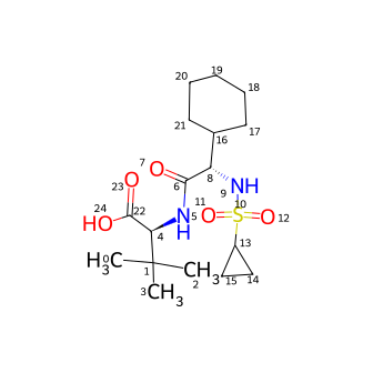 CC(C)(C)[C@H](NC(=O)[C@@H](NS(=O)(=O)C1CC1)C1CCCCC1)C(=O)O